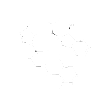 CCCN(CCOc1c(Cl)cc(Cl)cc1Cl)C(=O)n1ccnc1.CN(C)C[C@@H]1Cc2ccccc2[C@@H]1N